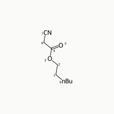 CCCCCCOC(=O)CC#N